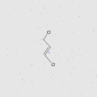 Cl[CH]/C=C/Cl